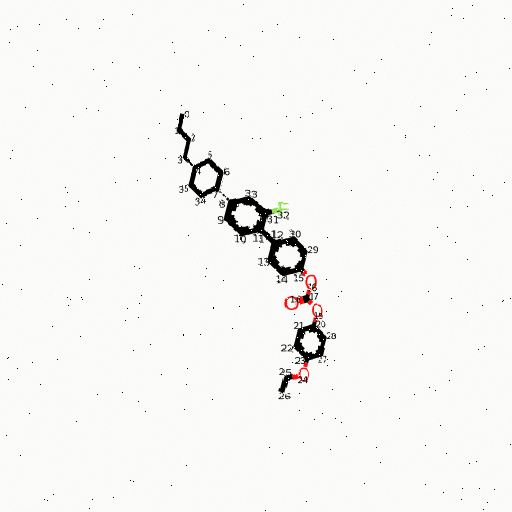 CCCC[C@H]1CC[C@H](c2ccc(-c3ccc(OC(=O)Oc4ccc(OCC)cc4)cc3)c(F)c2)CC1